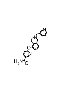 NC(=O)c1ccc(Oc2cccc3c2CCN(Cc2cccnc2)C3)nc1